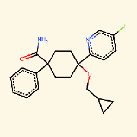 NC(=O)C1(c2ccccc2)CCC(OCC2CC2)(c2ccc(F)cn2)CC1